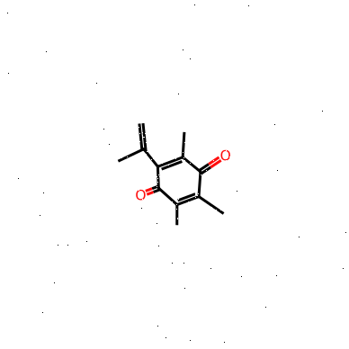 C=C(C)C1=C(C)C(=O)C(C)=C(C)C1=O